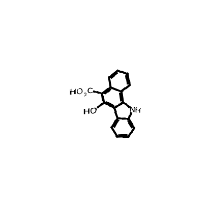 O=C(O)c1c(O)c2c3ccccc3[nH]c2c2ccccc12